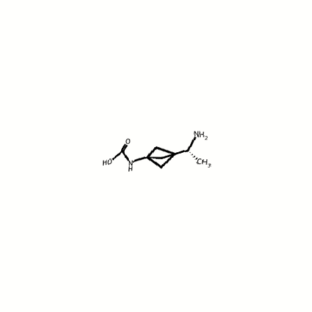 C[C@@H](N)C12CC(NC(=O)O)(C1)C2